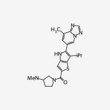 CNC1CCN(C(=O)c2cc3[nH]c(-c4cc(C)c5ncnn5c4)c(C(C)C)c3s2)C1